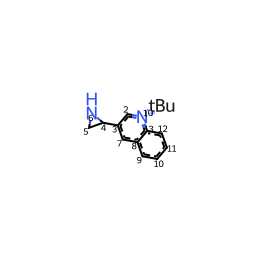 CC(C)(C)[n+]1cc(C2CN2)cc2ccccc21